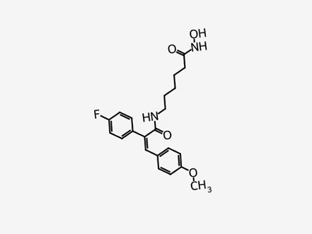 COc1ccc(C=C(C(=O)NCCCCCC(=O)NO)c2ccc(F)cc2)cc1